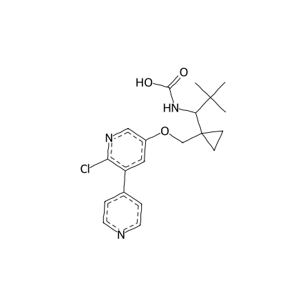 CC(C)(C)C(NC(=O)O)C1(COc2cnc(Cl)c(-c3ccncc3)c2)CC1